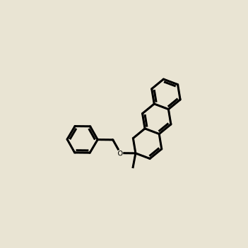 CC1(OCc2ccccc2)C=Cc2cc3ccccc3cc2C1